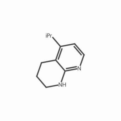 CC(C)c1ccnc2c1CCCN2